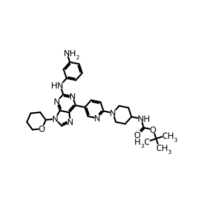 CC(C)(C)OC(=O)NC1CCN(c2ccc(-c3nc(Nc4cccc(N)c4)nc4c3ncn4C3CCCCO3)cn2)CC1